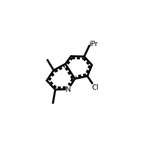 Cc1cc(C)c2cc(C(C)C)cc(Cl)c2n1